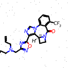 C=CCN(CC=C)Cc1noc(-c2ncn3c2[C@@H]2CCN2C(=O)c2c-3cccc2C(F)(F)F)n1